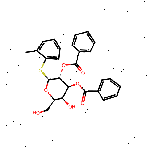 Cc1ccccc1S[C@@H]1O[C@H](CO)[C@H](O)[C@H](OC(=O)c2ccccc2)[C@H]1OC(=O)c1ccccc1